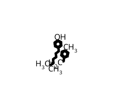 C=Cc1ccc(C)cc1.CC(C)CCCCCc1ccc(O)cc1